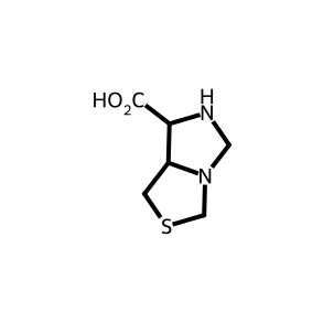 O=C(O)C1NCN2CSCC12